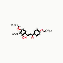 COCOc1ccc(C(=O)/C=C/c2ccc(OCOC)c(OC)c2O)cc1